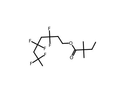 CCC(C)(C)C(=O)OCCC(F)(F)CC(F)(F)CC(C)(F)F